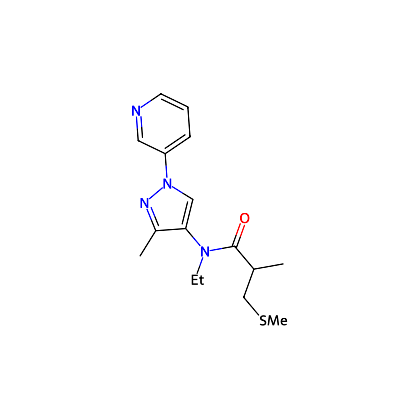 CCN(C(=O)C(C)CSC)c1cn(-c2cccnc2)nc1C